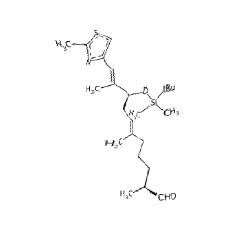 C/C(=C\C[C@H](O[Si](C)(C)C(C)(C)C)/C(C)=C/c1csc(C)n1)CCC[C@H](C)C=O